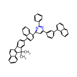 CC1(C)c2cc(-c3ccc(-c4cc(-c5cccc(-c6cccc7ccccc67)c5)nc(-c5ccccc5)n4)c4ccccc34)ccc2-c2ccc3ccccc3c21